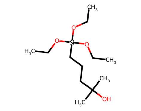 CCO[Si](CCCC(C)(C)O)(OCC)OCC